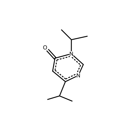 CC(C)c1cc(=O)n(C(C)C)cn1